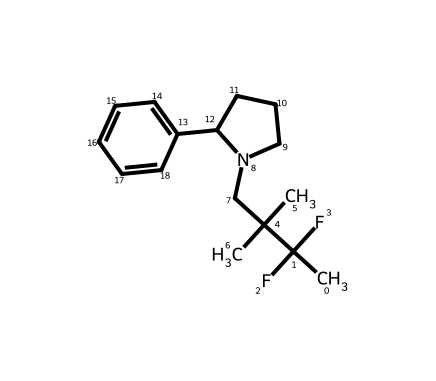 CC(F)(F)C(C)(C)CN1CCCC1c1ccccc1